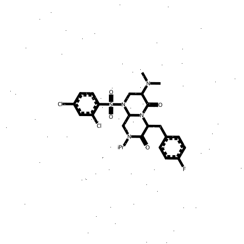 CC(C)N1CC2N(C(=O)C(N(C)C)CN2S(=O)(=O)c2ccc(Cl)cc2Cl)C(Cc2ccc(F)cc2)C1=O